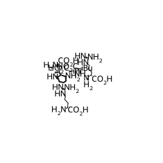 CC(C)C(N)C(=O)O.CCC(C)C(N)C(=O)O.N=C(N)NCCCC(N)C(=O)O.N=C(N)NCCCC(N)C(=O)O.NC(Cc1c[nH]c2ccccc12)C(=O)O